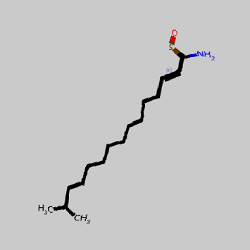 CC(C)CCCCCCCCCC/C=C/C(N)=S=O